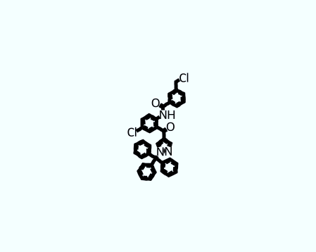 O=C(Nc1ccc(Cl)cc1C(=O)c1cnn(C(c2ccccc2)(c2ccccc2)c2ccccc2)c1)c1cccc(CCl)c1